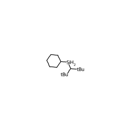 CC(C)(C)C([SiH2]C1CCCCC1)C(C)(C)C